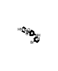 O=S(=O)(c1ccc(Nc2cc(Br)ccn2)cc1)N1CCNCC1